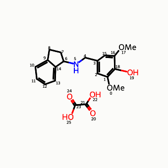 COc1cc(CNC2CCc3ccccc32)cc(OC)c1O.O=C(O)C(=O)O